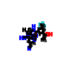 CC(NC(=O)c1cc(C(O)C2CC2)cc(C(F)(F)F)c1)/C(=N/C=N)Nc1ccc(C#N)cn1